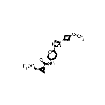 O=C(N[C@H]1CC[C@H](c2nnc([C@H]3C[C@@H](OC(F)(F)F)C3)o2)OC1)[C@@H]1C[C@H]1COC(F)(F)F